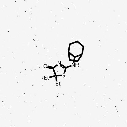 CCC1(CC)SC(NC2C3CCCC2CC3)=NC1=O